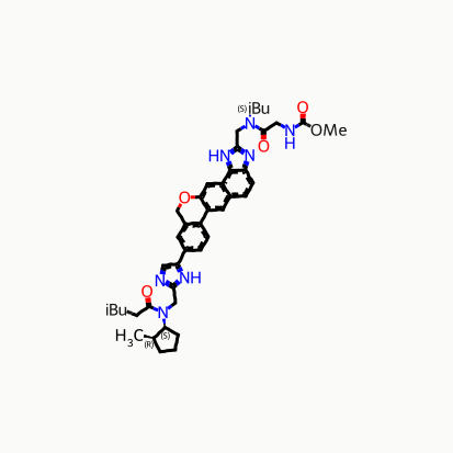 CCC(C)CC(=O)N(Cc1ncc(-c2ccc3c(c2)COc2cc4c(ccc5nc(CN(C(=O)CNC(=O)OC)[C@@H](C)CC)[nH]c54)cc2-3)[nH]1)[C@H]1CCC[C@H]1C